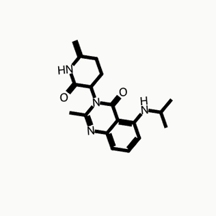 C=C1CCC(n2c(C)nc3cccc(NC(C)C)c3c2=O)C(=O)N1